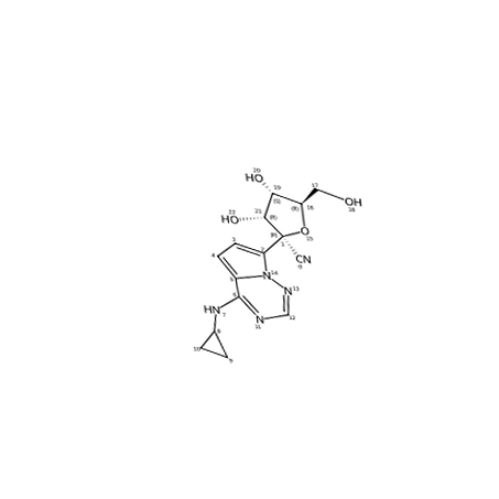 N#C[C@@]1(c2ccc3c(NC4CC4)ncnn23)O[C@H](CO)[C@@H](O)[C@H]1O